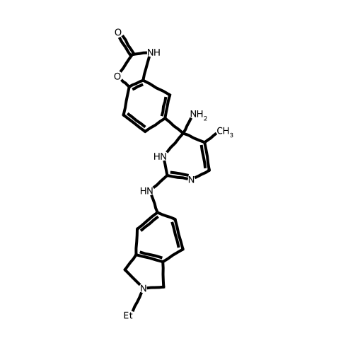 CCN1Cc2ccc(NC3=NC=C(C)C(N)(c4ccc5oc(=O)[nH]c5c4)N3)cc2C1